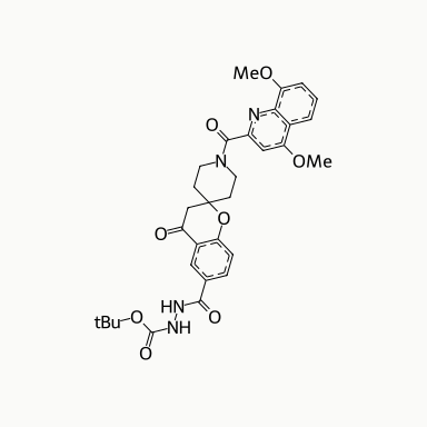 COc1cc(C(=O)N2CCC3(CC2)CC(=O)c2cc(C(=O)NNC(=O)OC(C)(C)C)ccc2O3)nc2c(OC)cccc12